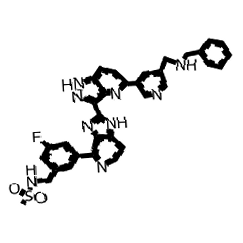 CS(=O)(=O)NCc1cc(F)cc(-c2nccc3[nH]c(-c4n[nH]c5ccc(-c6cncc(CNCc7ccccc7)c6)nc45)nc23)c1